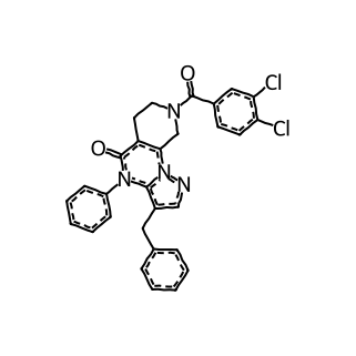 O=C(c1ccc(Cl)c(Cl)c1)N1CCc2c(n3ncc(Cc4ccccc4)c3n(-c3ccccc3)c2=O)C1